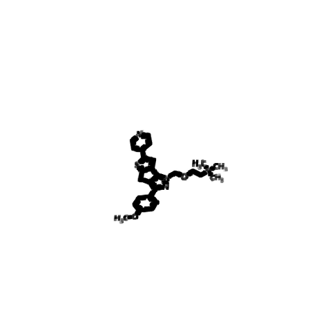 COc1ccc(-c2nn(COCC[Si](C)(C)C)c3c2Cc2sc(-c4ccncc4)cc2-3)cc1